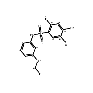 O=S(=O)(Nc1cccc(OCF)c1)c1cc(F)c(F)cc1F